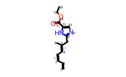 C=C/C=C\C=C(/C)Cc1ncc(C(=O)OCC)[nH]1